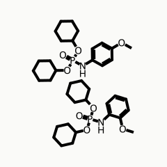 COc1ccc(NP(=O)(OC2CCCCC2)OC2CCCCC2)cc1.COc1ccccc1NP(=O)(OC1CCCCC1)OC1CCCCC1